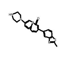 Cc1nc2cc(C3=C\C(=O)N4C=C(N5CCNCC5)C=C\C4=C/C=C/3)ccc2s1